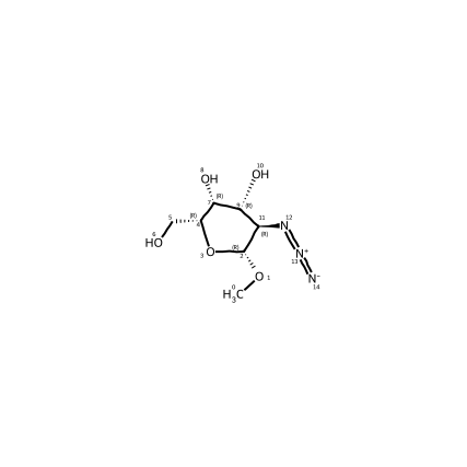 CO[C@@H]1O[C@H](CO)[C@H](O)[C@H](O)[C@H]1N=[N+]=[N-]